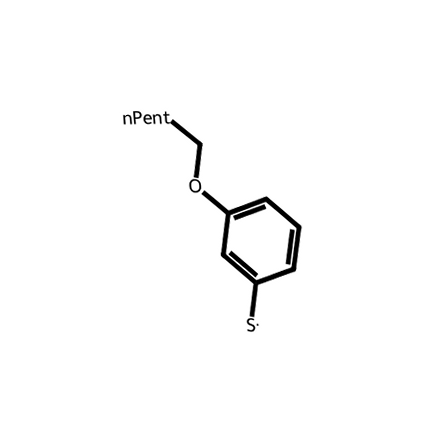 CCCCCCOc1cccc([S])c1